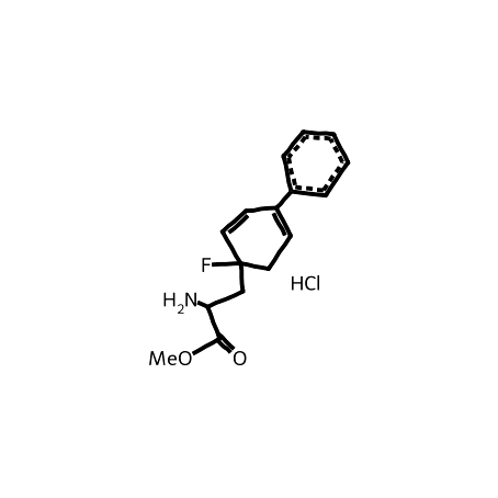 COC(=O)C(N)CC1(F)C=CC(c2ccccc2)=CC1.Cl